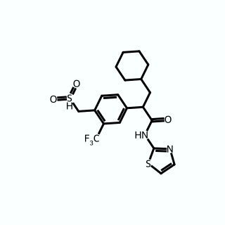 O=C(Nc1nccs1)C(CC1CCCCC1)c1ccc(C[SH](=O)=O)c(C(F)(F)F)c1